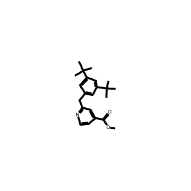 COC(=O)c1ccnc(Cc2cc(C(C)(C)C)cc(C(C)(C)C)c2)c1